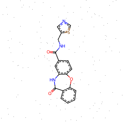 O=C(NCc1cncs1)c1ccc2c(c1)NC(=O)c1ccccc1O2